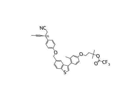 CC#C[C@@H](CC#N)c1ccc(OCc2ccc3scc(-c4ccc(OCCC(C)(C)OC(=O)C(F)(F)F)cc4C)c3c2)cc1